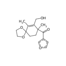 CC1=C(CO)C(C)(C(=O)c2ccoc2)CCC12OCCO2